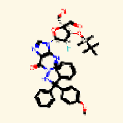 COc1ccc(C(Nn2cnc3c(ncn3[C@@H]3O[C@](C=O)(CO)[C@@H](O[Si](C)(C)C(C)(C)C)[C@@H]3F)c2=O)(c2ccccc2)c2ccccc2)cc1